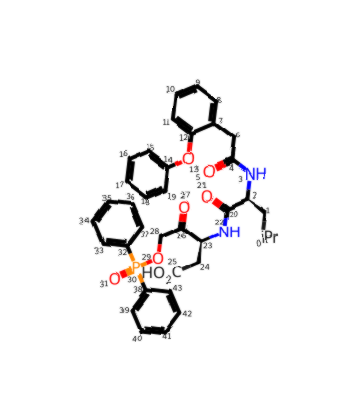 CC(C)C[C@H](NC(=O)Cc1ccccc1Oc1ccccc1)C(=O)N[C@@H](CC(=O)O)C(=O)COP(=O)(c1ccccc1)c1ccccc1